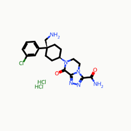 Cl.Cl.NC[C@]1(c2cccc(Cl)c2)CC[C@H](N2CCn3c(C(N)=O)nnc3C2=O)CC1